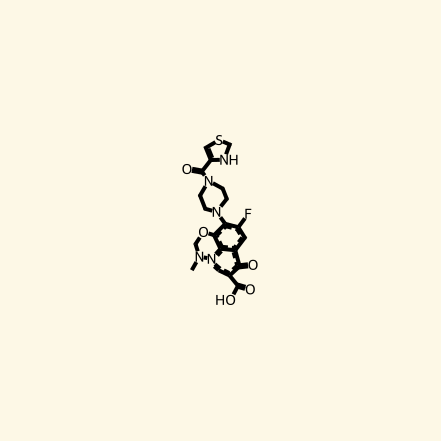 CN1COc2c(N3CCN(C(=O)C4=CSCN4)CC3)c(F)cc3c(=O)c(C(=O)O)cn1c23